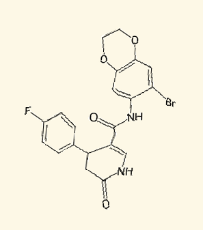 O=C1CC(c2ccc(F)cc2)C(C(=O)Nc2cc3c(cc2Br)OCCO3)=CN1